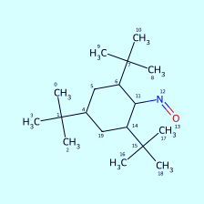 CC(C)(C)C1CC(C(C)(C)C)C(N=O)C(C(C)(C)C)C1